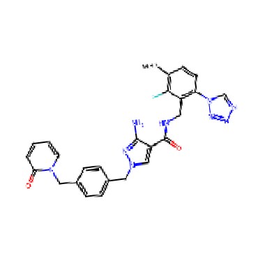 COc1ccc(-n2cnnn2)c(CNC(=O)c2cn(Cc3ccc(Cn4ccccc4=O)cc3)nc2N)c1F